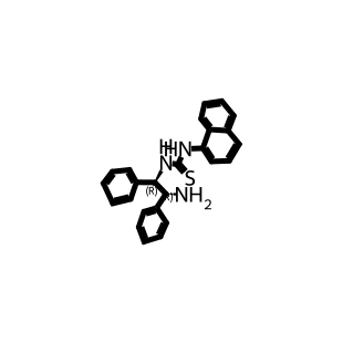 N[C@H](c1ccccc1)[C@H](NC(=S)Nc1cccc2ccccc12)c1ccccc1